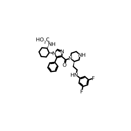 O=C(O)N[C@H]1CCCC[C@@H]1n1cnc(C(=O)N2CCNC[C@H]2CCNc2cc(F)cc(F)c2)c1-c1ccccc1